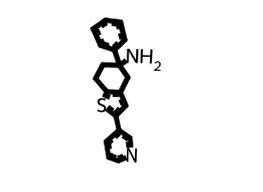 NC1(c2ccccc2)CCc2sc(-c3cccnc3)cc2C1